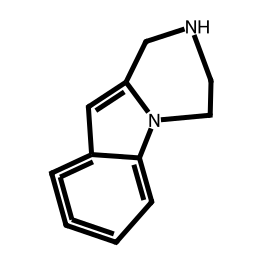 C1=C=c2cc3n(c2=CC=1)CCNC3